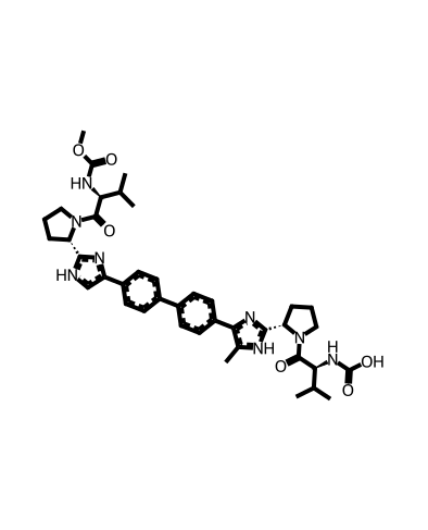 COC(=O)N[C@H](C(=O)N1CCC[C@H]1c1nc(-c2ccc(-c3ccc(-c4nc([C@@H]5CCCN5C(=O)[C@@H](NC(=O)O)C(C)C)[nH]c4C)cc3)cc2)c[nH]1)C(C)C